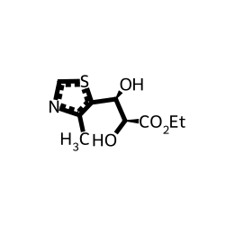 CCOC(=O)[C@@H](O)[C@H](O)c1scnc1C